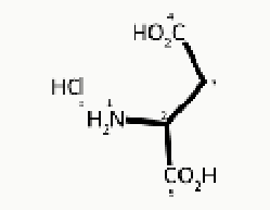 Cl.NC(CC(=O)O)C(=O)O